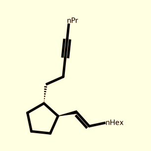 CCCC#CCC[C@H]1CCC[C@@H]1C=CCCCCCC